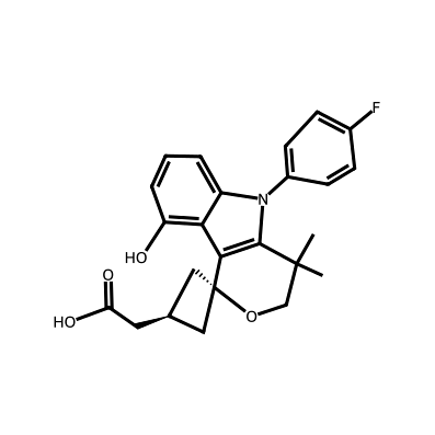 CC1(C)CO[C@]2(C[C@H](CC(=O)O)C2)c2c1n(-c1ccc(F)cc1)c1cccc(O)c12